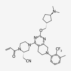 C=CC(=O)N1CCN(c2nc(OC[C@@H]3CC[C@@H](N(C)C)C3)nc3c2CCN(c2cccc(C)c2C(F)(F)F)C3)C[C@@H]1CC#N